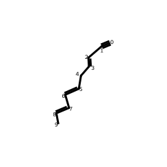 [C]#CC=CCC=CC=CC